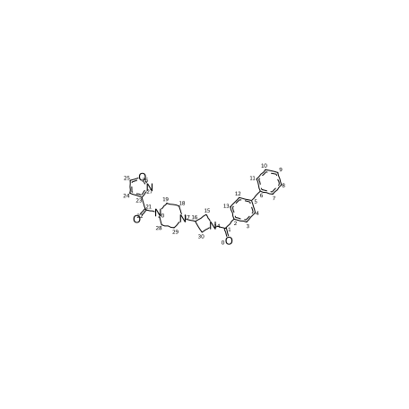 O=C(c1ccc(-c2ccccc2)cc1)N1CC(N2CCN(C(=O)c3ccon3)CC2)C1